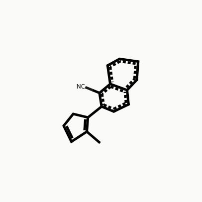 CC1=C(c2ccc3ccccc3c2C#N)CC=C1